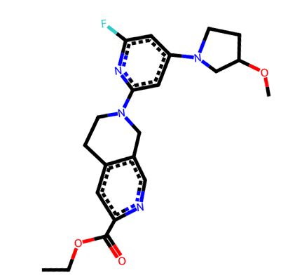 CCOC(=O)c1cc2c(cn1)CN(c1cc(N3CCC(OC)C3)cc(F)n1)CC2